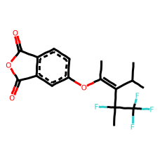 CC(Oc1ccc2c(c1)C(=O)OC2=O)=C(C(C)C)C(C)(F)C(F)(F)F